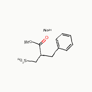 COC(=O)C(Cc1ccccc1)CS(=O)(=O)O.[NaH]